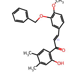 COc1ccc(/C=C/C(=O)c2cc(C)c(C)cc2O)cc1OCc1ccccc1